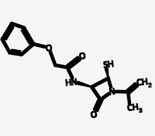 C=C(C)N1C(=O)[C@@H](NC(=O)COc2ccccc2)[C@H]1S